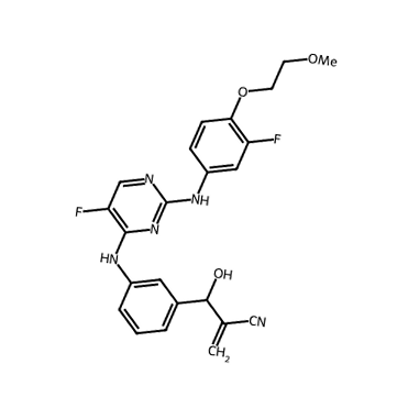 C=C(C#N)C(O)c1cccc(Nc2nc(Nc3ccc(OCCOC)c(F)c3)ncc2F)c1